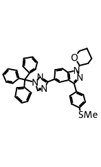 CSc1ccc(-c2nn(C3CCCCO3)c3ccc(-c4ncn(C(c5ccccc5)(c5ccccc5)c5ccccc5)n4)cc23)cc1